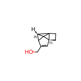 OCC1=C[C@@]23CCC24[C@H]2C1C243